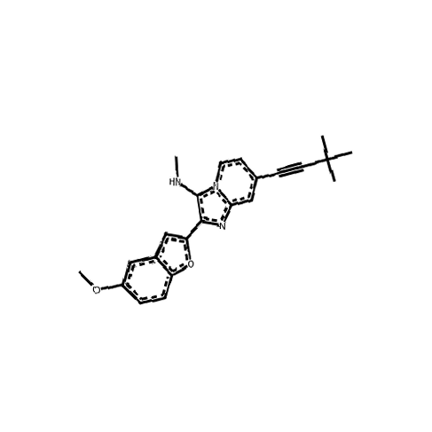 CNc1c(-c2cc3cc(OC)ccc3o2)nc2cc(C#CC(C)(C)C)ccn12